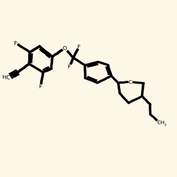 C#Cc1c(F)cc(OC(F)(F)c2ccc(C3CCC(CCC)CC3)cc2)cc1F